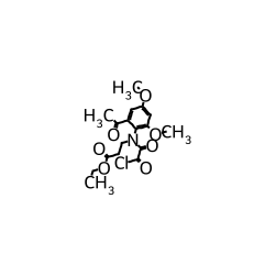 CCOC(=O)CCN(C(=O)C(=O)Cl)c1c(OC)cc(OC)cc1C(C)=O